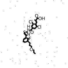 CCCOCCCc1cccc(-c2csc(NC(=O)c3cc(Cl)c(/C=C(\C)C(=O)O)c(Cl)c3)n2)c1F